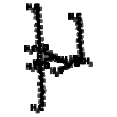 CCCCCCCCCCCCCCC(C)NC(=O)CCN(CCN)CCNCCN(CCC(=O)NC(C)CCCCCCCCCCCCCC)CCC(=O)NC(C)CCCCCCCCCCCCCC